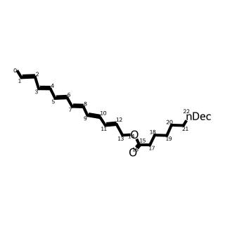 CC=CC=CC=CC=CC=CC=CCOC(=O)CCCCCCCCCCCCCCC